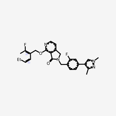 CC/C=C\C(COc1nccc2c1C(=O)N(Cc1ccc(-c3cn(C)nc3C)cc1F)C2)=C(/C)F